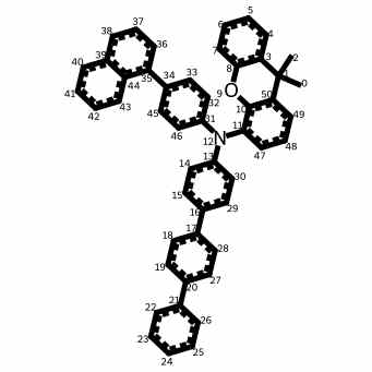 CC1(C)c2ccccc2Oc2c(N(c3ccc(-c4ccc(-c5ccccc5)cc4)cc3)c3ccc(-c4cccc5ccccc45)cc3)cccc21